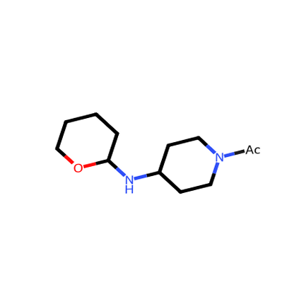 CC(=O)N1CCC(NC2CCCCO2)CC1